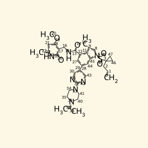 C=CCC1(S(=O)(=O)n2cc(C)c3c(C(=O)NCc4c(OC)cc(C)[nH]c4=O)cc(-c4cnc(N5CCN(C(C)C)CC5)nc4)cc32)CC1